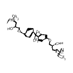 CNCC(O)COc1ccc(C(C)(C)c2ccc(OCC(O)CNC)cc2)cc1